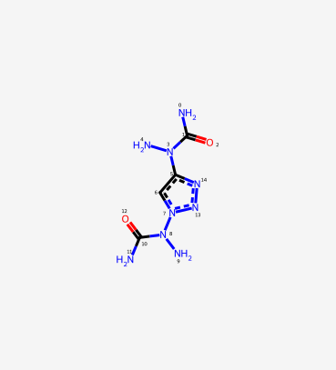 NC(=O)N(N)c1cn(N(N)C(N)=O)nn1